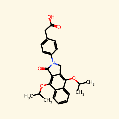 CC(C)Oc1c2c(c(OC(C)C)c3ccccc13)C(=O)N(c1ccc(CC(=O)O)cc1)C2